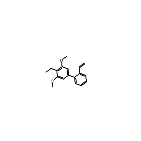 C=Cc1ccccc1-c1cc(OC)c(CC)c(OC)c1